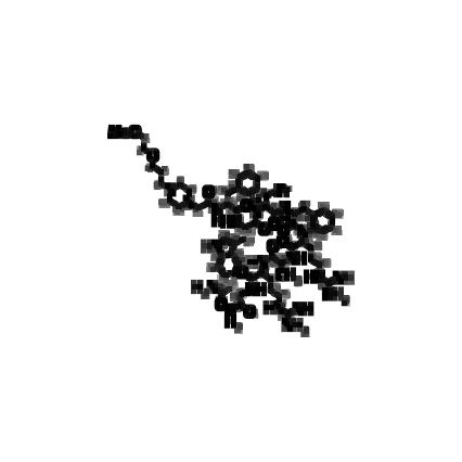 COCCOCCCN1CCN(CC(=O)N[C@@H](Cc2ccccc2)C(=O)N[C@@H](Cc2c[nH]c3ccccc23)C(=O)N[C@@H](CC(C)C)C(=O)N[C@@H](Cc2ccccc2)C(=O)N[C@@H](CCCNC(=N)N)C(=O)N[C@@H](C)C(=O)N[C@@H](CCCNC(=N)N)C(=O)N[C@@H](CC(N)=O)C(N)=O)CC1